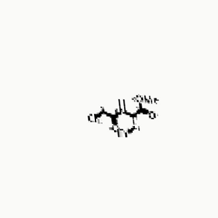 COC(=O)[C@H](CC(C)C)NC(=O)CCl